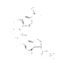 COC(=O)c1ccc([C@@H]2CCCCN2Cc2c(OC)cc(C)c3c2ccn3C(=O)OC(C)(C)C)c(N(C)C)c1